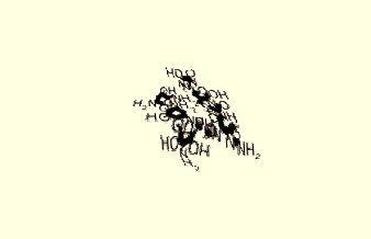 CO/N=C(\C(=O)N[C@@H]1C(=O)N2C(C(=O)O)=C(CSc3nc(=O)c(O)nn3C)CS[C@H]12)c1csc(N)n1.NC[C@H]1O[C@H](O[C@H]2[C@H](O)[C@@H](O[C@H]3O[C@H](CO)[C@@H](O)[C@H](N)[C@H]3O)[C@H](N)C[C@@H]2N)[C@H](N)C[C@@H]1O